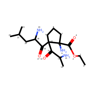 CCOC(=O)C1(N)CCCC1(C(=O)C(C)N)C(=O)C(N)CC(C)C